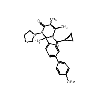 COc1ccc(-c2ccc(C3(C)N(C(=O)C4CC4)C(C)=C(C)C(=O)N3N3CCCC3)cc2)cc1